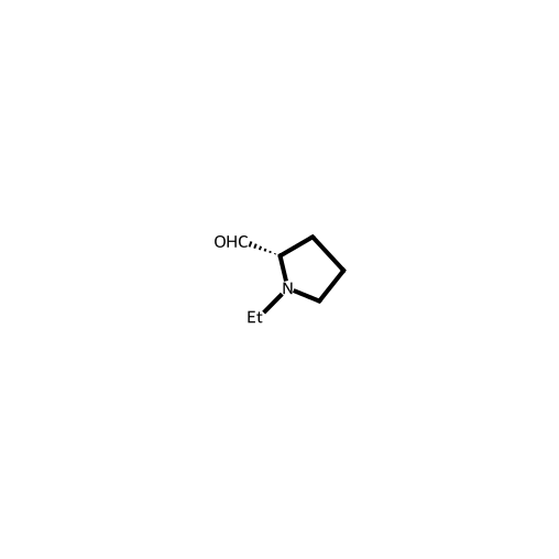 CCN1CCC[C@H]1C=O